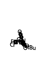 CC(C)(C)OC(=O)N1CCn2c(nc(C3CC4CC(=O)CC4C3)c2C(=O)Nc2ccc(F)c(Cl)c2)C1